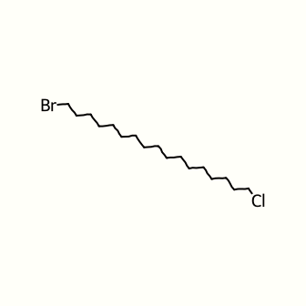 ClCCCCCCCCCCCCCCCCCBr